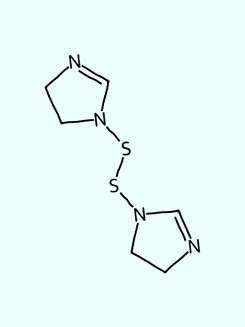 C1=NCCN1SSN1C=NCC1